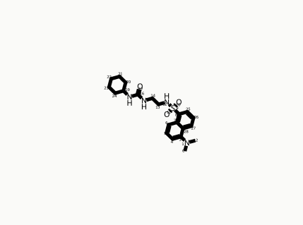 CN(C)c1cccc2c(S(=O)(=O)NCCNC(=O)NC3CCCCC3)cccc12